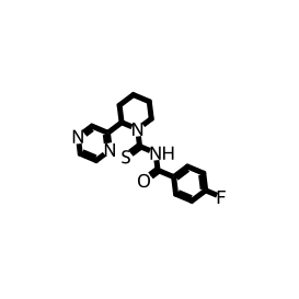 O=C(NC(=S)N1CCCCC1c1cnccn1)c1ccc(F)cc1